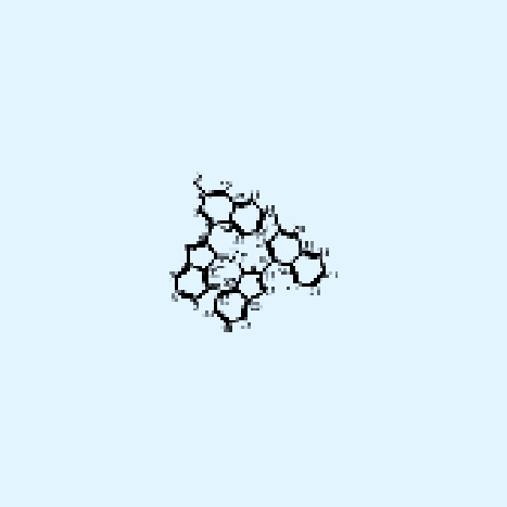 Cc1cc(C2=Cc3ccccc3[CH]2[Zr][CH]2C(c3cc(C)cc4ccccc34)=Cc3ccccc32)c2ccccc2c1